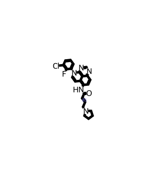 O=C(/C=C/CN1CCCC1)Nc1ccc2ncnc3c2c1C=CN3c1cccc(Cl)c1F